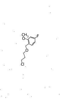 COc1cc(F)ccc1COCCCCl